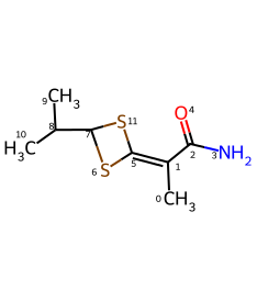 CC(C(N)=O)=C1SC(C(C)C)S1